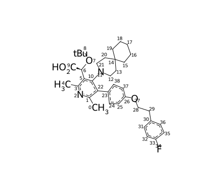 Cc1nc(C)c([C@H](OC(C)(C)C)C(=O)O)c(N2CCC3(CCCCC3)CC2)c1-c1ccc(OCCc2ccc(F)cc2)cc1